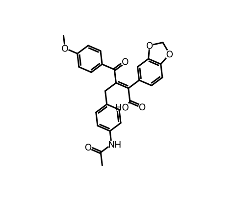 COc1ccc(C(=O)C(Cc2ccc(NC(C)=O)cc2)=C(C(=O)O)c2ccc3c(c2)OCO3)cc1